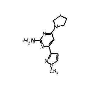 Cn1ccc(-c2cc(N3C[CH]CC3)nc(N)n2)n1